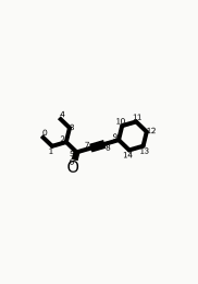 CCC(CC)C(=O)C#CC1CCCCC1